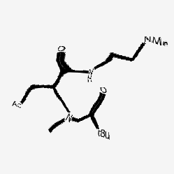 CNCCNC(=O)C(CC(C)=O)N(C)C(=O)C(C)(C)C